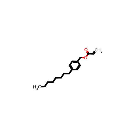 C=CC(=O)OCc1ccc(CCCCCCCC)cc1